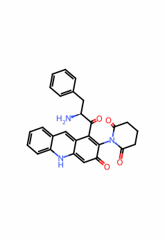 N[C@@H](Cc1ccccc1)C(=O)c1c2cc3ccccc3[nH]c-2cc(=O)c1N1C(=O)CCCC1=O